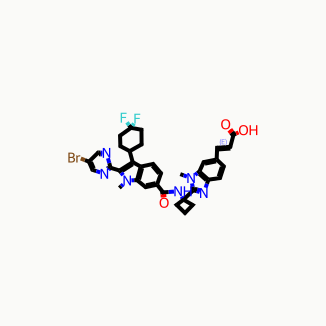 Cn1c(C2(NC(=O)c3ccc4c(C5CCC(F)(F)CC5)c(-c5ncc(Br)cn5)n(C)c4c3)CCC2)nc2ccc(/C=C/C(=O)O)cc21